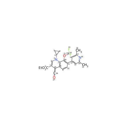 CCOC(=O)C1=CN(C2CC2)c2c(ccc(-c3cc(C)nc(C)c3)c2OC(F)F)C1=C=O